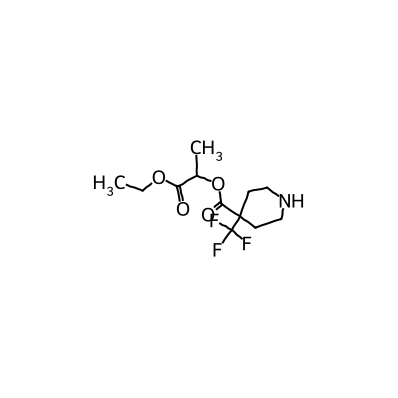 CCOC(=O)C(C)OC(=O)C1(C(F)(F)F)CCNCC1